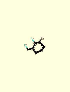 CCc1cccc(CF)c1F